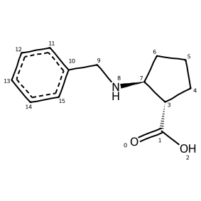 O=C(O)[C@H]1CCC[C@@H]1NCc1ccccc1